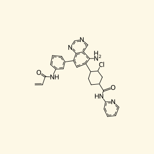 C=CC(=O)Nc1cccc(-c2cc(C3CCC(C(=O)Nc4ccccn4)CC3Cl)c(N)c3cncnc23)c1